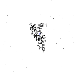 COc1cccc([C@H](C)NC(=O)/C(C#N)=C/c2cc(CO)c(OC(C)=O)c(OC)c2)c1